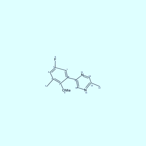 COc1c(C)cc(F)cc1-c1cnc(C)cn1